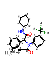 C#CC(=O)N(c1cccc(C(F)(F)F)c1)C(C(=O)NC1CCCCC1)c1cccc(C)c1